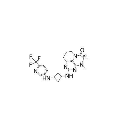 C[C@H]1C(=O)N2CCCc3nc(N[C@H]4C[C@@H](Nc5ccc(C(F)(F)F)nc5)C4)nc(c32)N1C